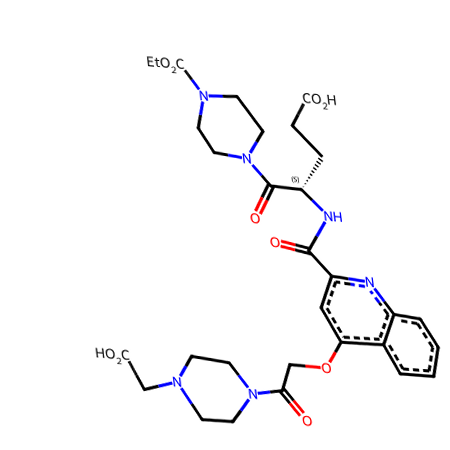 CCOC(=O)N1CCN(C(=O)[C@H](CCC(=O)O)NC(=O)c2cc(OCC(=O)N3CCN(CC(=O)O)CC3)c3ccccc3n2)CC1